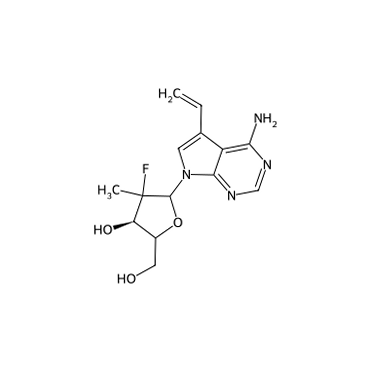 C=Cc1cn(C2OC(CO)[C@@H](O)C2(C)F)c2ncnc(N)c12